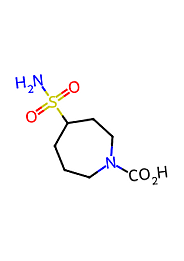 NS(=O)(=O)C1CCCN(C(=O)O)CC1